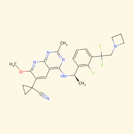 COc1nc2nc(C)nc(N[C@H](C)c3cccc(C(F)(F)CN4CCC4)c3F)c2cc1C1(C#N)CC1